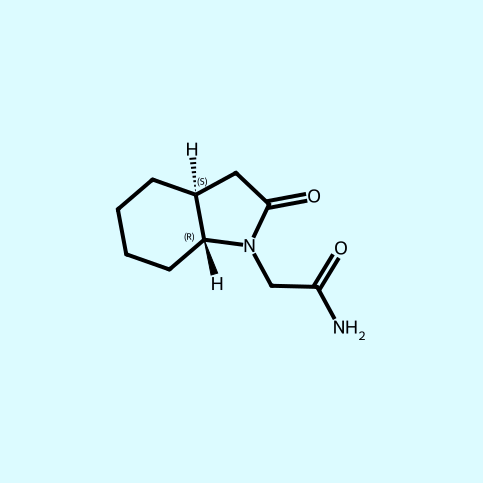 NC(=O)CN1C(=O)C[C@@H]2CCCC[C@H]21